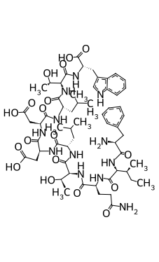 CC[C@H](C)[C@H](NC(=O)[C@@H](N)Cc1ccccc1)C(=O)N[C@@H](CCC(N)=O)C(=O)N[C@H](C(=O)N[C@@H](CC(C)C)C(=O)N[C@@H](CC(=O)O)C(=O)N[C@@H](CC(=O)O)C(=O)N[C@@H](CC(C)C)C(=O)N[C@H](C(=O)N[C@@H](Cc1c[nH]c2ccccc12)C(=O)O)[C@@H](C)O)[C@@H](C)O